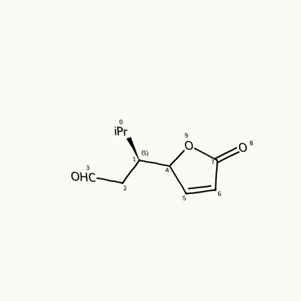 CC(C)[C@H](CC=O)C1C=CC(=O)O1